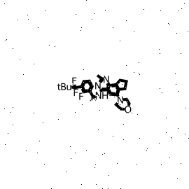 Cc1nc(N[C@H](C)c2cccc(C(F)(F)C(C)(C)C)c2F)c2cc(N3CCOCC3)c3c(c2n1)CCC3